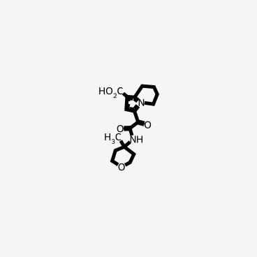 CC1(NC(=O)C(=O)c2cc(C(=O)O)c3n2CCCC3)CCOCC1